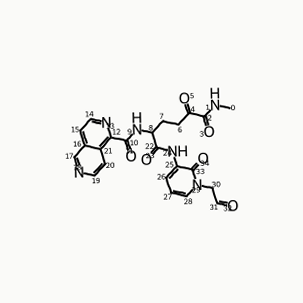 CNC(=O)C(=O)CCC(NC(=O)c1nccc2cnccc12)C(=O)Nc1cccn(CC=O)c1=O